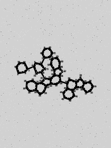 c1ccc(-c2cc(-c3ccccc3)nc(-n3c4c5ccccc5ccc4c4cc(-c5cc6sc7ccccc7c6c6ccccc56)c5sc6ccccc6c5c43)n2)cc1